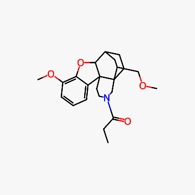 CCC(=O)N1CCC23c4cccc(OC)c4OC2C2CCC3(C1)C(COC)C2